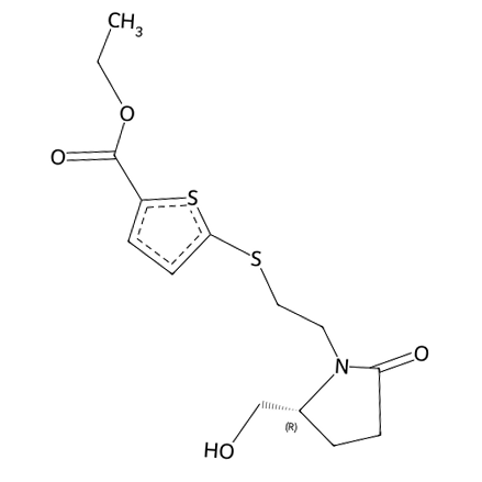 CCOC(=O)c1ccc(SCCN2C(=O)CC[C@@H]2CO)s1